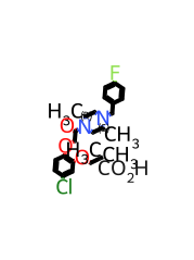 C[C@@H]1CN(Cc2ccc(F)cc2)[C@@H](C)CN1C(=O)COc1ccc(Cl)cc1OCC(C)(C)C(=O)O